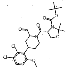 COc1ccc(Cl)c(Cl)c1C1CCN(C(=O)[C@H]2COC(C)(C)N2C(=O)OC(C)(C)C)C(C=O)C1